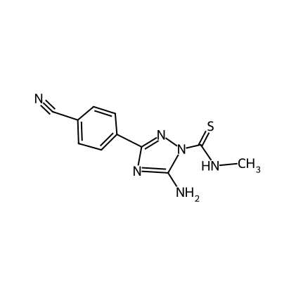 CNC(=S)n1nc(-c2ccc(C#N)cc2)nc1N